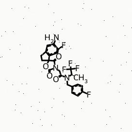 C[C@H](N(Cc1ccc(F)cc1)C(=O)CN1C(=O)OC2(CCc3cc(N)c(F)cc32)C1=O)C(F)(F)F